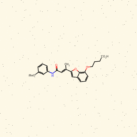 COc1cccc(NC(=O)C=C(C)c2cc3cccc(OCCCC(=O)O)c3o2)c1